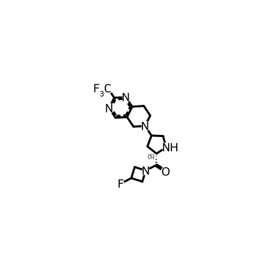 O=C([C@@H]1CC(N2CCc3nc(C(F)(F)F)ncc3C2)CN1)N1CC(F)C1